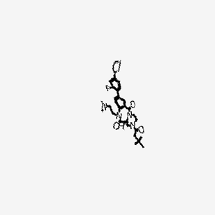 CN(C)CCN1C(=O)[C@H]2CN(C(=O)CC(C)(C)C)CCN2C(=O)c2cc(-c3ccc(Cl)cc3F)ccc21